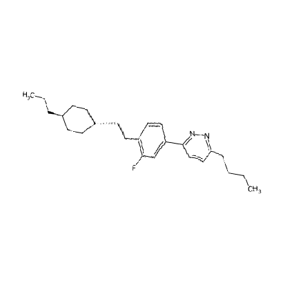 CCCCc1ccc(-c2ccc(CC[C@H]3CC[C@H](CCC)CC3)c(F)c2)nn1